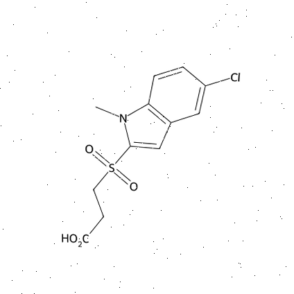 Cn1c(S(=O)(=O)CCC(=O)O)cc2cc(Cl)ccc21